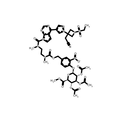 CCS(=O)(=O)N1CC(CC#N)(n2cc(-c3ncnc4c3ccn4C(=O)N(C)CCN(C)C(=O)OCc3ccc(O[C@@H]4O[C@H](C(=O)OC)[C@@H](OC(C)=O)[C@H](OC(C)=O)[C@H]4OC(C)=O)c([N+](=O)[O-])c3)cn2)C1